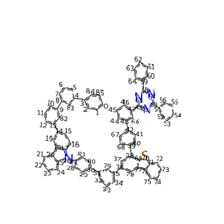 c1ccc(-c2cccc(-c3cccc(-c4ccc5c(c4)c4ccccc4n5-c4ccc(-c5cccc(-c6cc(-c7ccc(-c8cccc(-c9nc(-c%10ccccc%10)nc(-c%10ccccc%10)n9)c8)cc7)c7sc8ccccc8c7c6)c5)cc4)c3)c2)cc1